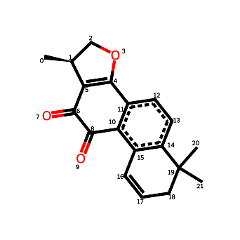 C[C@H]1COC2=C1C(=O)C(=O)c1c2ccc2c1C=CCC2(C)C